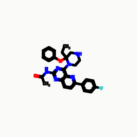 CCC1(Oc2ccccc2)CNCCN1c1nc(NC(C)=O)nc2ccc(-c3ccc(F)cc3)nc12